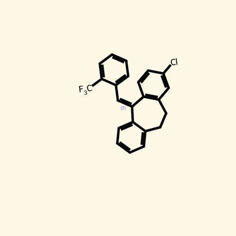 FC(F)(F)c1ccccc1/C=C1/c2ccccc2CCc2cc(Cl)ccc21